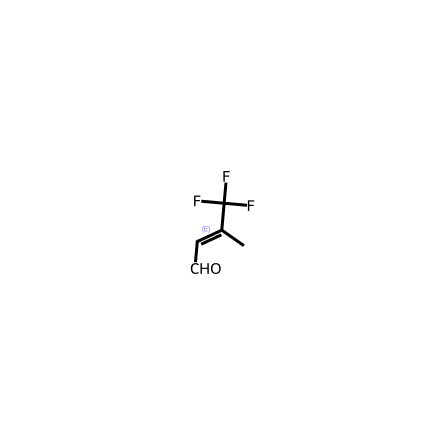 C/C(=C\C=O)C(F)(F)F